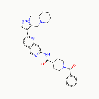 Cn1ncc(-c2ccc3cnc(NC(=O)C4CCN(C(=O)c5ccccc5)CC4)cc3n2)c1CN1CCCCC1